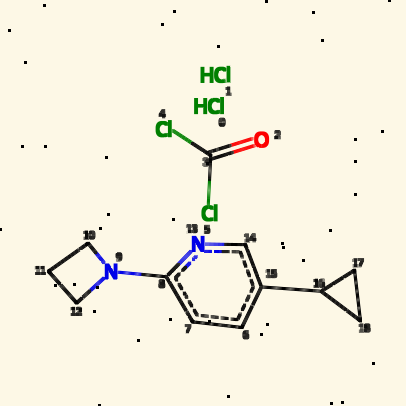 Cl.Cl.O=C(Cl)Cl.c1cc(N2CCC2)ncc1C1CC1